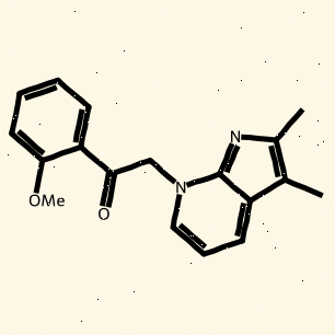 COc1ccccc1C(=O)Cn1cccc2c(C)c(C)nc1-2